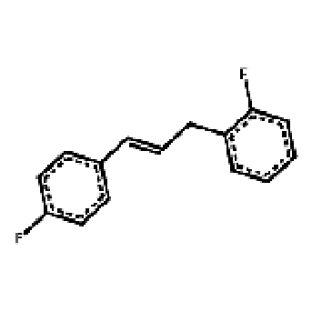 Fc1ccc(C=CCc2ccccc2F)cc1